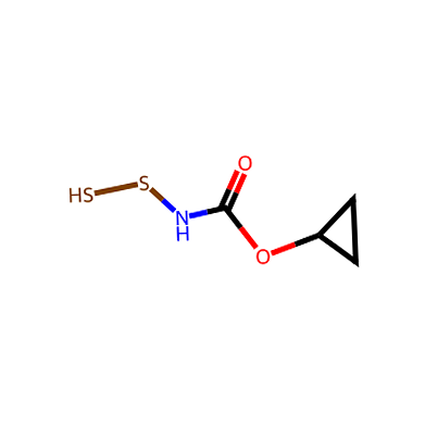 O=C(NSS)OC1CC1